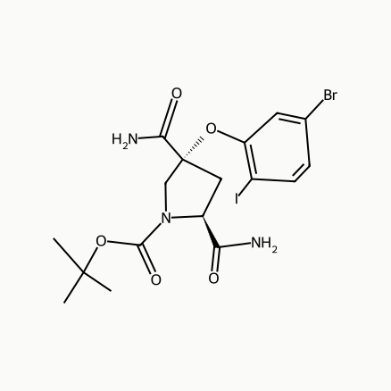 CC(C)(C)OC(=O)N1C[C@@](Oc2cc(Br)ccc2I)(C(N)=O)C[C@H]1C(N)=O